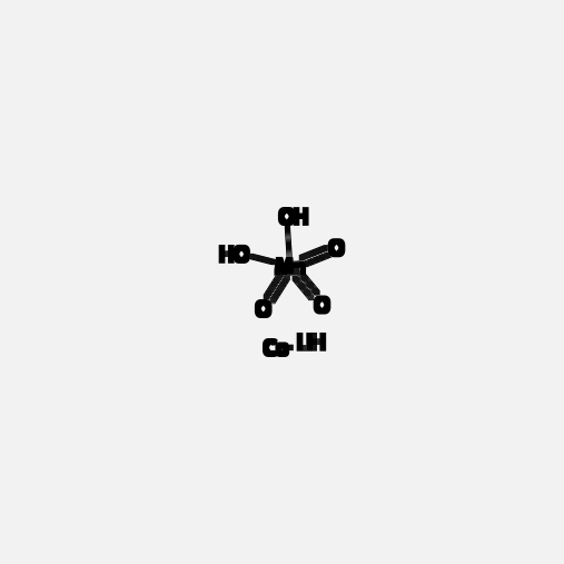 [Co].[LiH].[O]=[Mn](=[O])(=[O])([OH])[OH]